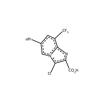 CCCc1cc(C(F)(F)F)c2nc(C(=O)O)c(Cl)n2c1